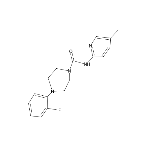 Cc1ccc(NC(=O)N2CCN(c3ccccc3F)CC2)nc1